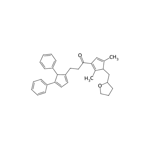 CC1=CC(C(=O)CCC2=CC=C(c3ccccc3)C2c2ccccc2)=C(C)C1CC1CCCO1